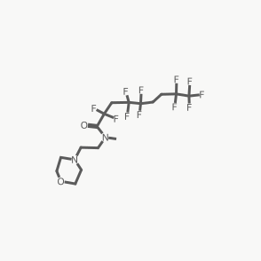 CN(CCN1CCOCC1)C(=O)C(F)(F)CC(F)(F)C(F)(F)CCC(F)(F)C(F)(F)F